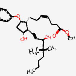 CCCCC(C)(C)C(O)/C=C/[C@@H]1[C@@H](CC/C=C\CCC(=O)OC)[C@H](Oc2ccccc2)C[C@H]1O